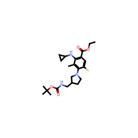 CCOC(=O)c1cc(F)c(N2CCC(CNC(=O)OC(C)(C)C)C2)c(C)c1NC1CC1